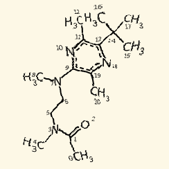 CC(=O)N(C)CCN(C)c1nc(C)c(C(C)(C)C)nc1C